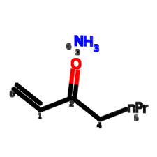 C=CC(=O)CCCC.N